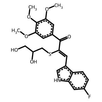 COc1cc(C(=O)/C(=C/c2c[nH]c3cc(F)ccc23)SCC(O)CO)cc(OC)c1OC